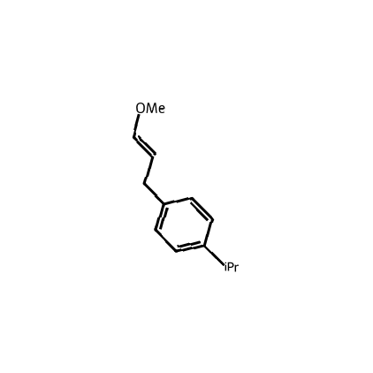 COC=CCc1ccc(C(C)C)cc1